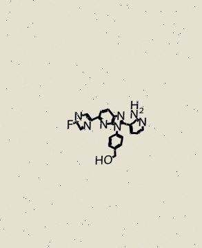 Nc1ncccc1-c1nc2ccc(-c3cnc(F)cn3)nc2n1-c1ccc(CO)cc1